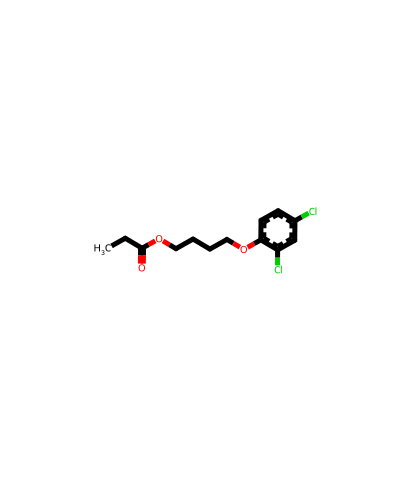 CCC(=O)OCCCCOc1ccc(Cl)cc1Cl